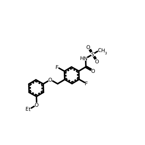 CCOc1cccc(OCc2cc(F)c(C(=O)NS(C)(=O)=O)cc2F)c1